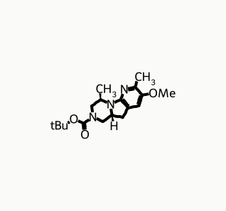 COc1cc2c(nc1C)N1[C@H](C2)CN(C(=O)OC(C)(C)C)C[C@H]1C